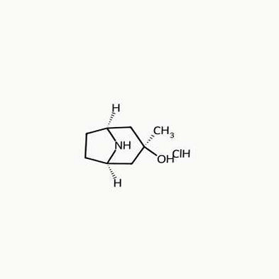 C[C@]1(O)C[C@H]2CC[C@@H](C1)N2.Cl